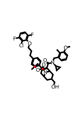 COc1cccc(CN(C(=O)C2=C(c3ccc(CCCOc4c(F)ccc(F)c4Cl)cc3)CC3CC(CO)CC2N3C(=O)OC(C)(C)C)C2CC2)c1C